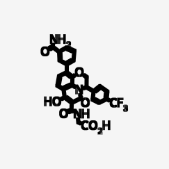 NC(=O)c1cccc(-c2ccc3c(O)c(C(=O)NCC(=O)O)c(=O)n4c3c2OCC4c2ccc(C(F)(F)F)cc2)c1